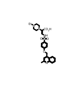 CCN1CCN(/C(=C/NS(=O)(=O)c2ccc(OCc3cc(C)nc4ccccc34)cc2)C(=O)O)CC1